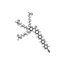 CC(=O)OCCOCCOc1cc(C(=O)c2ccc(-c3ccc(-c4ccc(-c5ccc(C#N)cc5)cc4)cc3)cc2)cc(OCCOCCOC(C)=O)c1OCCOCCOC(C)=O